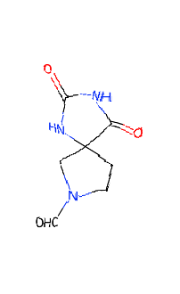 O=CN1CCC2(C1)NC(=O)NC2=O